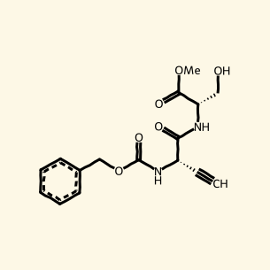 C#C[C@H](NC(=O)OCc1ccccc1)C(=O)N[C@@H](CO)C(=O)OC